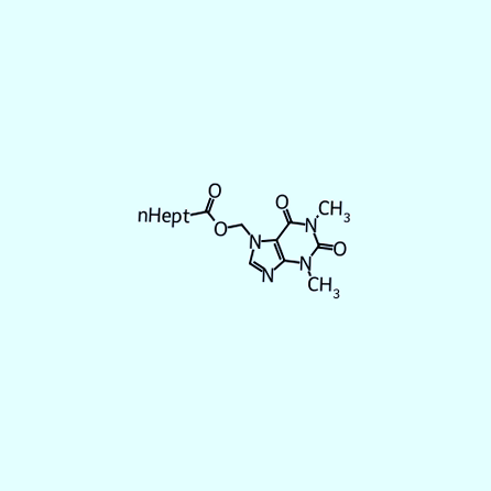 CCCCCCCC(=O)OCn1cnc2c1c(=O)n(C)c(=O)n2C